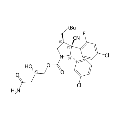 CC(C)(C)C[C@@H]1CN(C(=O)OC[C@@H](O)CC(N)=O)[C@@H](c2cccc(Cl)c2)[C@@]1(C#N)c1ccc(Cl)cc1F